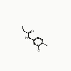 CCC(=O)Nc1ccc(C)c(Cl)c1